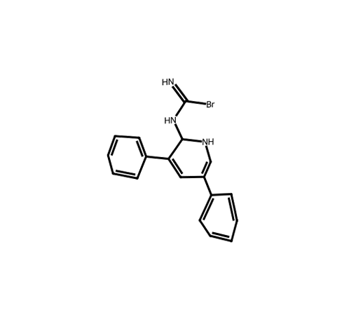 N=C(Br)NC1NC=C(c2ccccc2)C=C1c1ccccc1